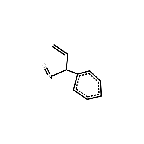 C=CC(N=O)c1ccccc1